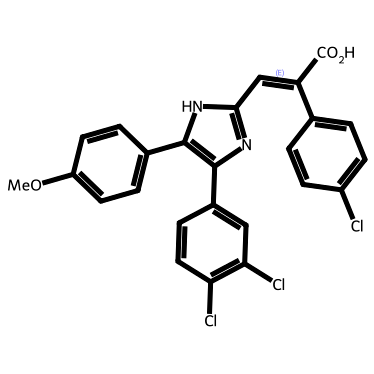 COc1ccc(-c2[nH]c(/C=C(/C(=O)O)c3ccc(Cl)cc3)nc2-c2ccc(Cl)c(Cl)c2)cc1